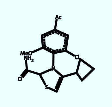 COc1cc(C(C)=O)cc(Cl)c1N1C(C2CCC2)=CSC1C(N)=O